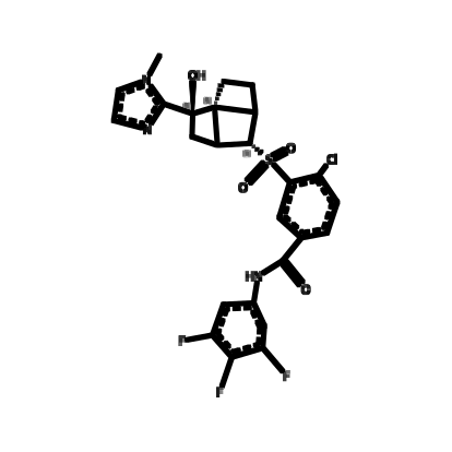 Cn1ccnc1[C@@]1(O)CC2[C@@H](S(=O)(=O)c3cc(C(=O)Nc4cc(F)c(F)c(F)c4)ccc3Cl)C3CC[C@]321